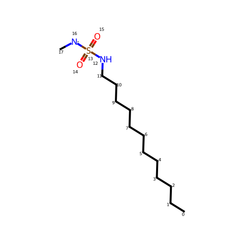 CCCCCCCCCCCCNS(=O)(=O)[N]C